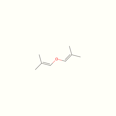 CC(C)=COC=C(C)C